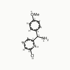 COc1ccc(C(N)c2cncc(Cl)n2)cc1